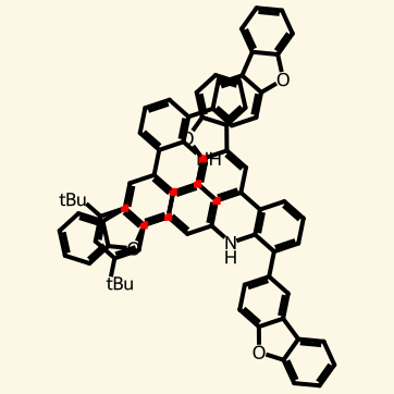 CC(C)(C)c1cc(-c2cc(Nc3c(-c4ccc5oc6ccccc6c5c4)cccc3-c3ccc4oc5ccccc5c4c3)cc(Nc3c(-c4ccc5oc6ccccc6c5c4)cccc3-c3ccc4oc5ccccc5c4c3)c2)cc(C(C)(C)C)c1